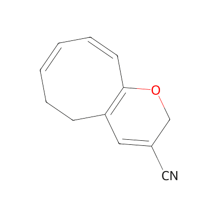 N#CC1=CC2=C(/C=C\C=C/CC2)OC1